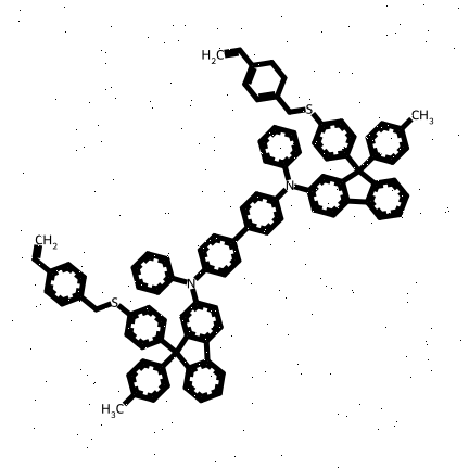 C=CC1=CC=C(CSc2ccc(C3(c4ccc(C)cc4)c4ccccc4-c4ccc(N(c5ccccc5)c5ccc(-c6ccc(N(c7ccccc7)c7ccc8c(c7)C(c7ccc(C)cc7)(c7ccc(SCc9ccc(C=C)cc9)cc7)c7ccccc7-8)cc6)cc5)cc43)cc2)CC1